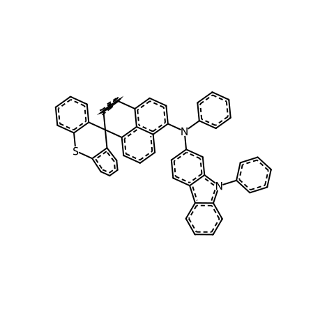 c1ccc(N(c2ccc3c4ccccc4n(-c4ccccc4)c3c2)c2ccc3c4c(cccc24)C2(c4ccccc4Sc4ccccc42)c2ccccc2-3)cc1